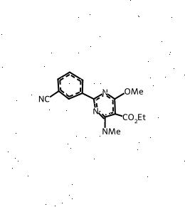 CCOC(=O)c1c(NC)nc(-c2cccc(C#N)c2)nc1OC